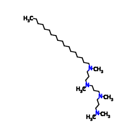 CCCCCCCCCCCCCCCCCCN(C)CCCN(C)CCCN(C)CCCN(C)C